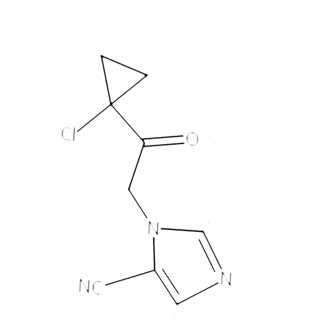 N#Cc1cncn1CC(=O)C1(Cl)CC1